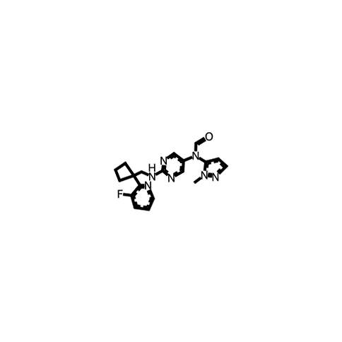 Cn1nccc1N(C=O)c1cnc(NCC2(c3ncccc3F)CCC2)nc1